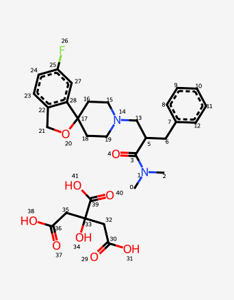 CN(C)C(=O)C(Cc1ccccc1)CN1CCC2(CC1)OCc1ccc(F)cc12.O=C(O)CC(O)(CC(=O)O)C(=O)O